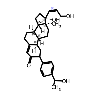 CC(O)c1ccc(C2C[C@H]3C(=CC2=O)CC[C@@H]2[C@@H]3CC[C@@]3(C)[C@H]2CC[C@@]3(O)/C=C\CO)cc1